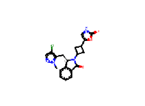 Cn1ncc(Cl)c1C[C@@H]1c2ccccc2C(=O)N1C1CC(c2c[nH]c(=O)o2)C1